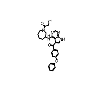 O=C(c1ccc(Oc2ccccc2)cc1)c1c[nH]c2ncnc(NC3CCCCN(C(=O)CCl)C3)c12